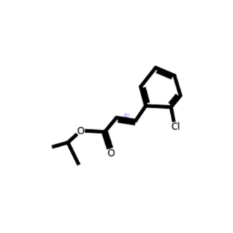 CC(C)OC(=O)/C=C/c1ccccc1Cl